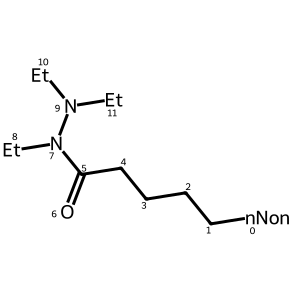 CCCCCCCCCCCCCC(=O)N(CC)N(CC)CC